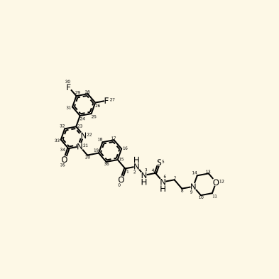 O=C(NNC(=S)NCCN1CCOCC1)c1cccc(Cn2nc(-c3cc(F)cc(F)c3)ccc2=O)c1